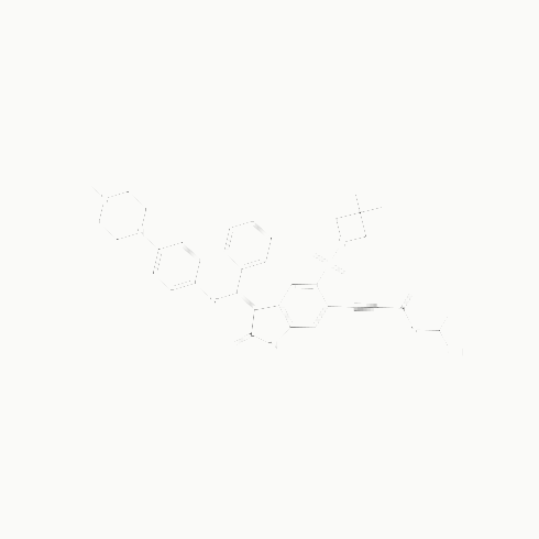 CC(C)NC(=O)C#Cc1cc2c(cc1S(=O)(=O)N1CC(F)(F)C1)/C(=C(/Nc1ccc(N3CCN(C)CC3)cc1)c1ccccc1)C(=O)N2